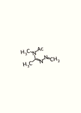 C=N/N=C(/C)N(C)C(C)=O